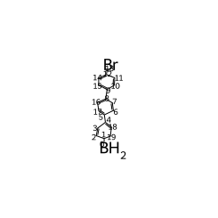 BC1C=CC(c2ccc(-c3ccc(Br)cc3)cc2)=CC1